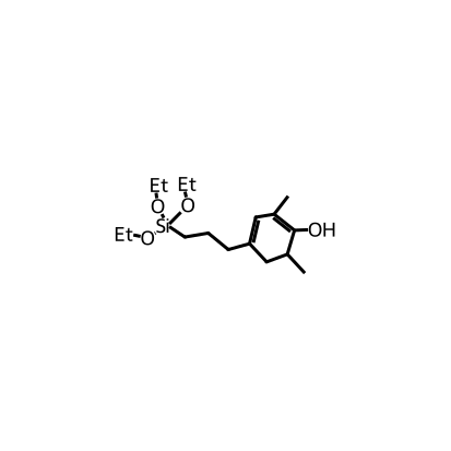 CCO[Si](CCCC1=CC(C)=C(O)C(C)C1)(OCC)OCC